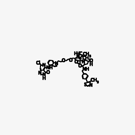 Cc1ncsc1-c1ccc(CNC(=O)C2CC(O)CN2C(=O)[C@@H](NC(=O)COCCOCCn2ccc3c(Nc4nc(Cl)cc5nc[nH]c(=O)c45)cccc32)C(C)(C)C)cc1